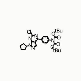 CC(C)(C)OC(=O)N(C(=O)OC(C)(C)C)c1ccc(-c2nc(Cl)nc3c2cnn3C2CCCC2)cc1